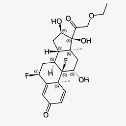 CCOCC(=O)[C@@]1(O)[C@H](O)C[C@H]2[C@@H]3C[C@H](F)C4=CC(=O)C=C[C@]4(C)[C@@]3(F)[C@@H](O)C[C@@]21C